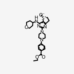 CCOC(=O)c1ccc(N2CCN(c3nc4c(c(NC5CCOCC5)n3)[S+]([O-])CC4)CC2)cc1